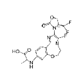 CC(Nc1ccc2c(c1)OCCn1c-2nc(N2C(=O)OC[C@H]2C(F)F)c1F)C(=O)O